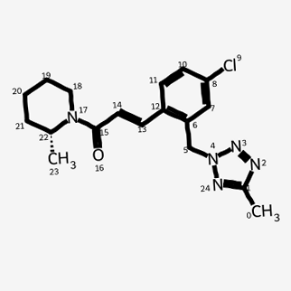 Cc1nnn(Cc2cc(Cl)ccc2C=CC(=O)N2CCCC[C@H]2C)n1